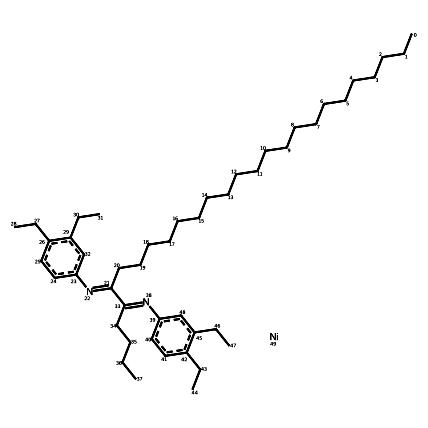 CCCCCCCCCCCCCCCCCCCCCC(=Nc1ccc(CC)c(CC)c1)C(CCCC)=Nc1ccc(CC)c(CC)c1.[Ni]